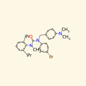 CC(C)c1cccc(C(C)C)c1N(C)C(=O)N(Cc1ccc(N(C)C)cc1)c1ccc(Br)cc1